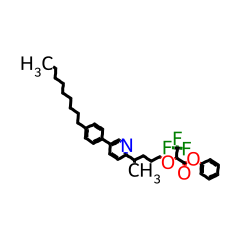 CCCCCCCCCc1ccc(-c2ccc(C(C)CCCOC(C(=O)Oc3ccccc3)C(F)(F)F)nc2)cc1